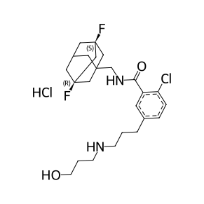 Cl.O=C(NCC12CC3C[C@@](F)(C1)C[C@](F)(C3)C2)c1cc(CCCNCCCO)ccc1Cl